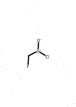 [O-][S+](Cl)CF